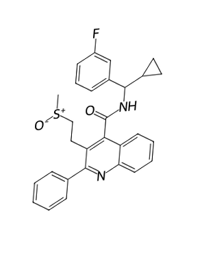 C[S+]([O-])CCc1c(-c2ccccc2)nc2ccccc2c1C(=O)NC(c1cccc(F)c1)C1CC1